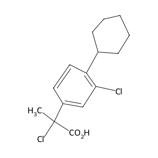 CC(Cl)(C(=O)O)c1ccc(C2CCCCC2)c(Cl)c1